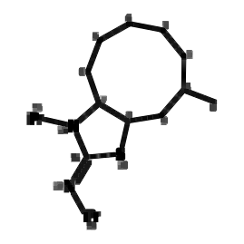 CC1CCCCCC2C(C1)S/C(=N\C(C)C)N2C(C)C